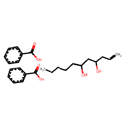 C=CCC(O)CC(O)CCCCC.O=C(O)c1ccccc1.O=C(O)c1ccccc1